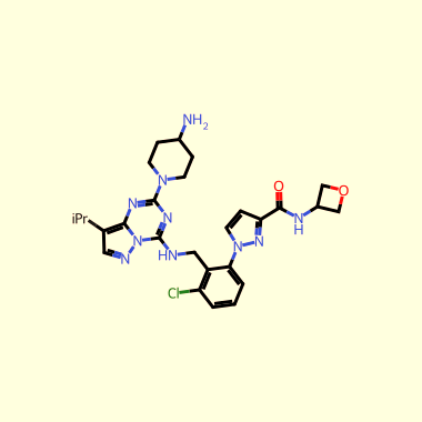 CC(C)c1cnn2c(NCc3c(Cl)cccc3-n3ccc(C(=O)NC4COC4)n3)nc(N3CCC(N)CC3)nc12